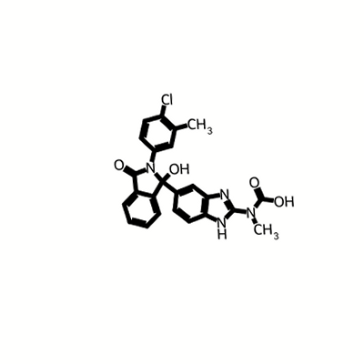 Cc1cc(N2C(=O)c3ccccc3C2(O)c2ccc3[nH]c(N(C)C(=O)O)nc3c2)ccc1Cl